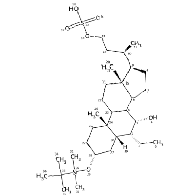 CC[C@H]1[C@@H](O)C2C3CC[C@H]([C@H](C)CCOS(=O)(=O)O)[C@@]3(C)CCC2[C@@]2(C)CC[C@@H](O[Si](C)(C)C(C)(C)C)C[C@@H]12